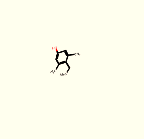 COCc1c(C)cc(O)cc1C